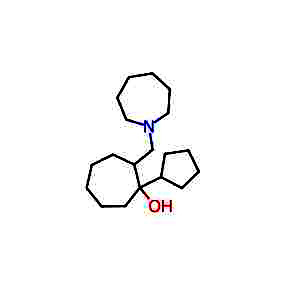 OC1(C2CCCC2)CCCCCC1CN1CCCCCC1